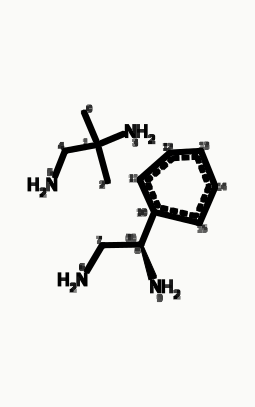 CC(C)(N)CN.NC[C@H](N)c1ccccc1